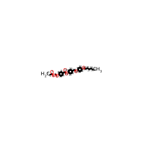 C=CC(=O)OCOc1ccc(C(=O)Oc2ccc(COc3ccc(OCCCCCC)cc3)cc2)cc1